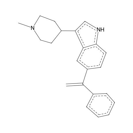 C=C(c1ccccc1)c1ccc2[nH]cc(C3CCN(C)CC3)c2c1